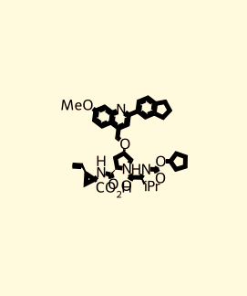 C=C[C@@H]1C[C@]1(NC(=O)[C@@H]1C[C@@H](OCc2cc(-c3ccc4c(c3)CCC4)nc3cc(OC)ccc23)CN1C(=O)[C@@H](NC(=O)OC1CCCC1)C(C)C)C(=O)O